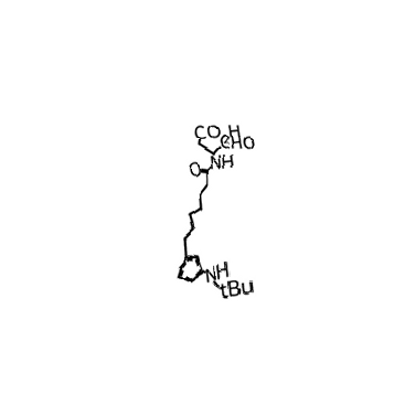 CC(C)(C)CNc1cccc(CCCCCCC(=O)NC(C=O)CC(=O)O)c1